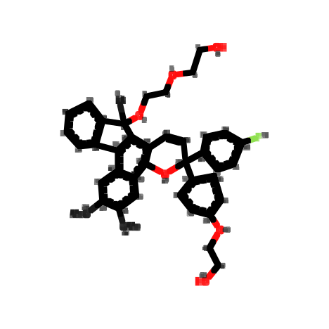 CCC1(OCCOCCO)c2ccccc2-c2c1c1c(c3cc(OC)c(OC)cc23)OC(c2ccc(F)cc2)(c2ccc(OCCO)cc2)C=C1